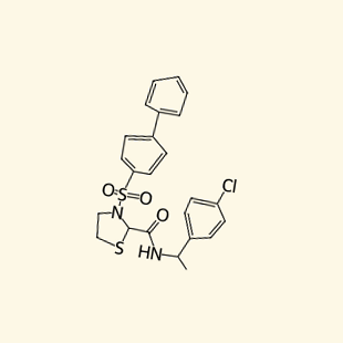 CC(NC(=O)C1SCCN1S(=O)(=O)c1ccc(-c2ccccc2)cc1)c1ccc(Cl)cc1